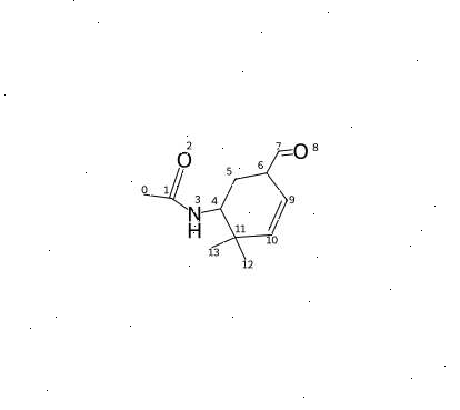 CC(=O)NC1CC(C=O)C=CC1(C)C